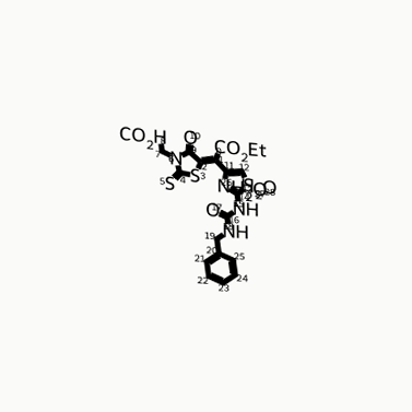 CCOC(=O)C(=C1SC(=S)N(CC(=O)O)C1=O)c1csc(NC(=O)NCc2ccccc2)n1.O.O